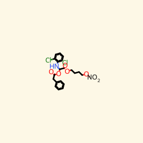 O=C(Cc1ccccc1)OC(Nc1c(Cl)cccc1Cl)C(=O)OCCCCO[N+](=O)[O-]